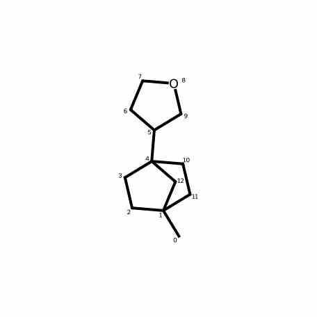 CC12CCC(C3CCOC3)(CC1)C2